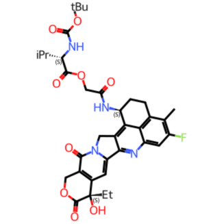 CC[C@@]1(O)C(=O)OCc2c1cc1n(c2=O)Cc2c-1nc1cc(F)c(C)c3c1c2[C@@H](NC(=O)COC(=O)[C@@H](NC(=O)OC(C)(C)C)C(C)C)CC3